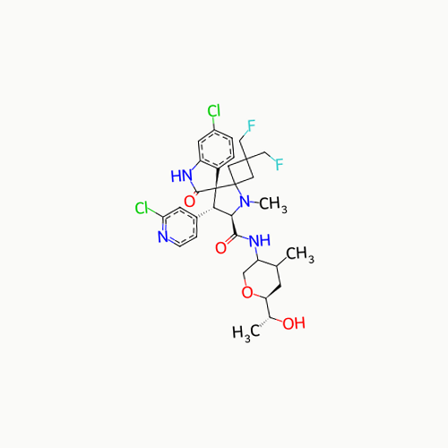 CC1C[C@@H]([C@@H](C)O)OCC1NC(=O)[C@H]1[C@H](c2ccnc(Cl)c2)[C@]2(C(=O)Nc3cc(Cl)ccc32)C2(CC(CF)(CF)C2)N1C